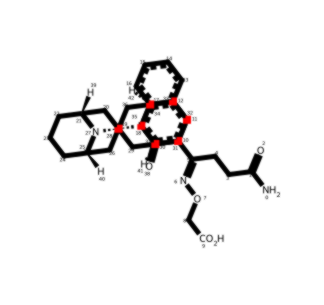 NC(=O)CC/C(=N\OCC(=O)O)c1nc2ccccc2n([C@H]2C[C@H]3CCC[C@@H](C2)N3[C@H]2C[C@@H]3CCC[C@@H](C3)C2)c1=O